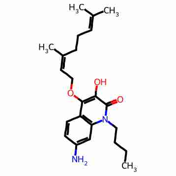 CCCCn1c(=O)c(O)c(OCC=C(C)CCC=C(C)C)c2ccc(N)cc21